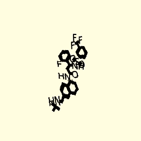 CC(C)(C)NCc1ccc2c(c1)CCC[C@H]2NC(=O)CC(NS(=O)(=O)c1cccc(C(F)(F)F)c1)c1ccccc1F